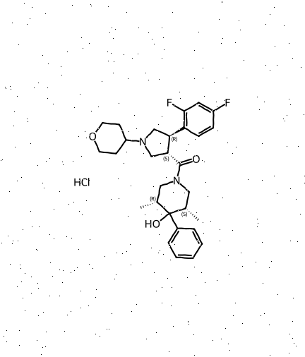 C[C@@H]1CN(C(=O)[C@@H]2CN(C3CCOCC3)C[C@H]2c2ccc(F)cc2F)C[C@H](C)C1(O)c1ccccc1.Cl